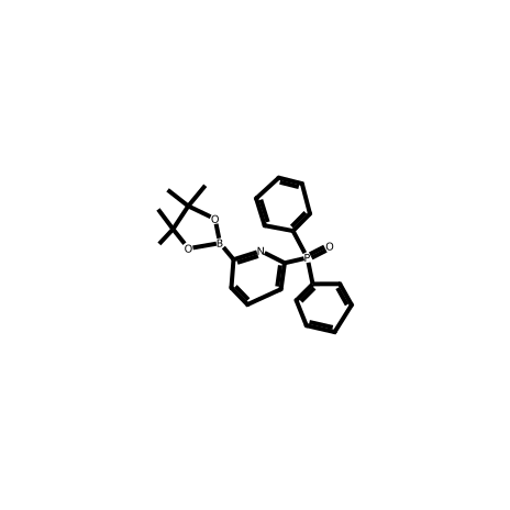 CC1(C)OB(c2cccc(P(=O)(c3ccccc3)c3ccccc3)n2)OC1(C)C